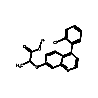 CC(C)OC(=O)C(C)Oc1ccc2c(-c3ccccc3Cl)ccnc2c1